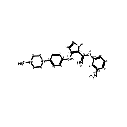 CN1CCN(c2ccc(Nc3ccoc3C(=N)Oc3cccc([N+](=O)[O-])c3)cc2)CC1